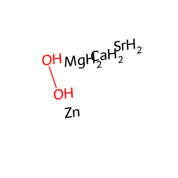 OO.[CaH2].[MgH2].[SrH2].[Zn]